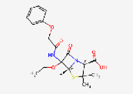 CCOC1(NC(=O)COc2ccccc2)C(=O)N2[C@@H](C(=O)O)C(C)(C)S[C@@H]21